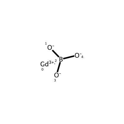 [Gd+3].[O-]B([O-])[O-]